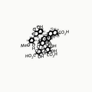 CC1(C)[C@@H](O[C@H]2O[C@H](C(=O)O)[C@@H](O)[C@H](O)[C@H]2O[C@@H]2O[C@H](C(=O)O)[C@@H](O)[C@H](O)[C@H]2O)CC[C@]2(C)[C@H]3C(=O)C=C4[C@@H]5C[C@@](C)(C(=O)O)CC[C@]5(C)CC[C@@]4(C)[C@]3(C)CC[C@@H]12.COc1ccc([C@H]2Cc3cccc(O)c3C(=O)O2)cc1O